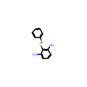 Nc1cccc(N)c1SSc1ccccc1